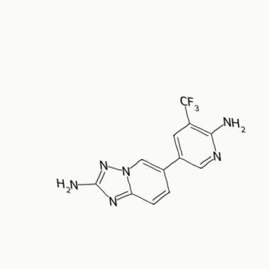 Nc1nc2ccc(-c3cnc(N)c(C(F)(F)F)c3)cn2n1